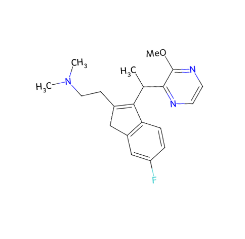 COc1nccnc1C(C)C1=C(CCN(C)C)Cc2cc(F)ccc21